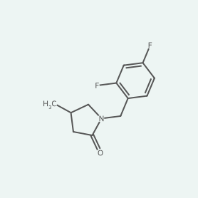 CC1CC(=O)N(Cc2ccc(F)cc2F)C1